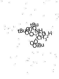 CC(C)COC(=O)OCC(C)C(c1ccc(OC(=O)C(C)(C)C)c(OC(=O)C(C)(C)C)c1)[C@H](N)C(=O)O